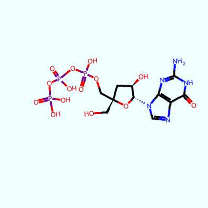 Nc1nc2c(ncn2[C@@H]2O[C@](CO)(COP(=O)(O)OP(=O)(O)OP(=O)(O)O)C[C@H]2O)c(=O)[nH]1